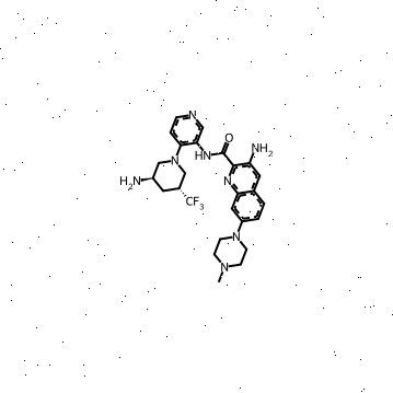 CN1CCN(c2ccc3cc(N)c(C(=O)Nc4cnccc4N4C[C@H](N)C[C@@H](C(F)(F)F)C4)nc3c2)CC1